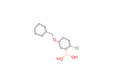 OB(O)c1cc(OCc2ccccc2)ccc1Cl